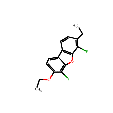 CCOc1ccc2c(oc3c(F)c(CC)ccc32)c1F